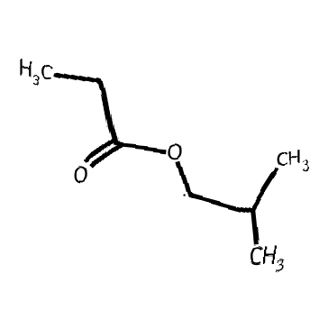 CCC(=O)O[CH]C(C)C